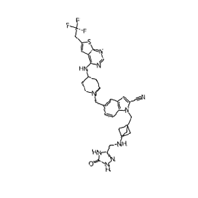 N#Cc1cc2cc(CN3CCC(Nc4ncnc5sc(CC(F)(F)F)cc45)CC3)ccc2n1CC12CC(NCc3n[nH]c(=O)[nH]3)(C1)C2